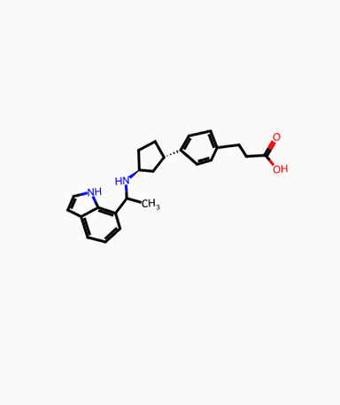 CC(N[C@H]1CC[C@H](c2ccc(CCC(=O)O)cc2)C1)c1cccc2cc[nH]c12